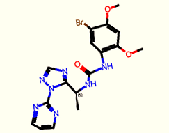 COc1cc(OC)c(NC(=O)N[C@@H](C)c2ncnn2-c2ncccn2)cc1Br